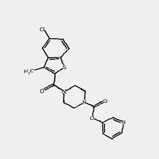 Cc1c(C(=O)N2CCN(C(=O)Oc3cccnc3)CC2)sc2ccc(Cl)cc12